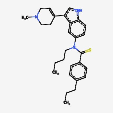 CCCCN(C(=S)c1ccc(CCC)cc1)c1ccc2[nH]cc(C3=CCN(C)CC3)c2c1